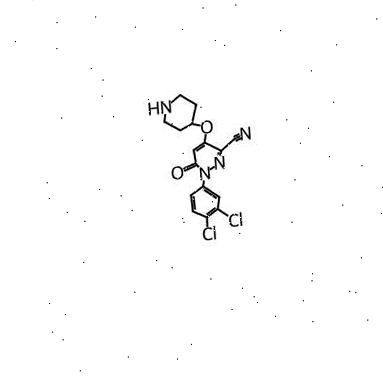 N#Cc1nn(-c2ccc(Cl)c(Cl)c2)c(=O)cc1OC1CCNCC1